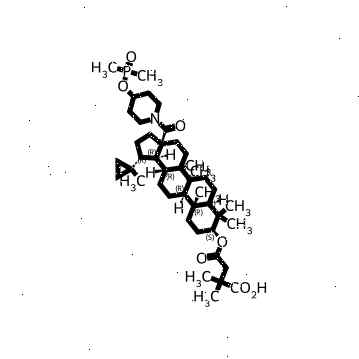 CC(C)(CC(=O)O[C@H]1CC[C@]2(C)[C@H]3CC[C@@H]4[C@H]5[C@H](C6(C)CC6)CC[C@]5(C(=O)N5CCC(OP(C)(C)=O)CC5)CC[C@@]4(C)[C@]3(C)CC[C@H]2C1(C)C)C(=O)O